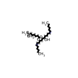 CCCCC/C=C\CCCC(O)C(CCC/C=C\CCCCC)OC(=O)CCCCCN(C)C